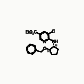 CCOC(=O)c1cnc(N[C@@H]2CCC[C@H]2OCc2ccccc2)c(Cl)c1